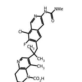 CNC(=O)Nc1cc2cc(CC(C)(C)c3cnc4c(c3C)N(C(=O)O)CCC4)c(F)c(Cl)c2cn1